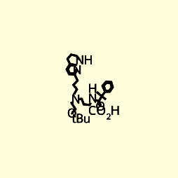 CC(C)(C)OCCN(CCCCc1ccc2c(n1)NCCC2)CCC(NC(=O)C(C)(C)c1ccccc1)C(=O)O